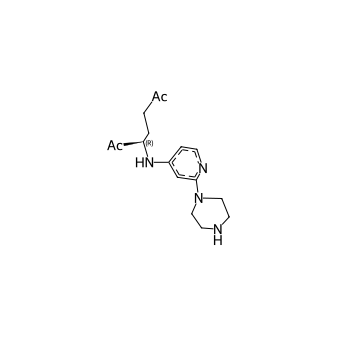 CC(=O)CC[C@@H](Nc1ccnc(N2CCNCC2)c1)C(C)=O